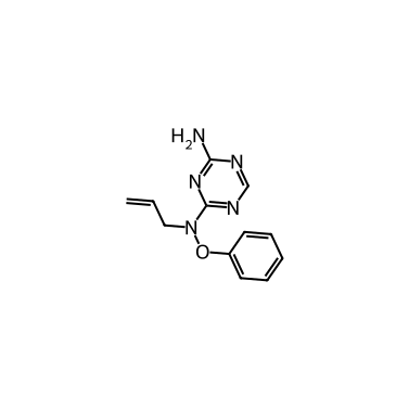 C=CCN(Oc1ccccc1)c1ncnc(N)n1